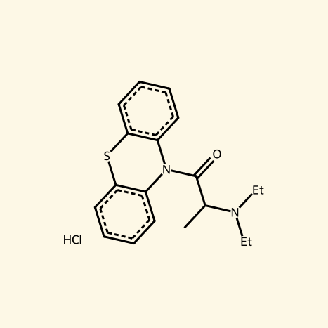 CCN(CC)C(C)C(=O)N1c2ccccc2Sc2ccccc21.Cl